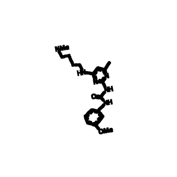 CNCCCCNc1cc(C)nc(NC(=O)Nc2cccc(OC)c2)n1